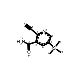 C#Cc1ncc([Si](C)(C)C)cc1C(N)=O